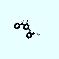 CCc1cc(Nc2ccccc2N)ccc1C(=O)c1ccccc1